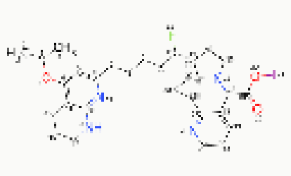 CC(C)Oc1cc(CCCCC(F)[C@@H]2CCN(C(C(=O)OI)c3cccnc3C3CC3)C2)nc2c1CCCN2